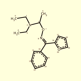 CCN(CC)C(C)ON=C(c1ccccc1)c1ccco1